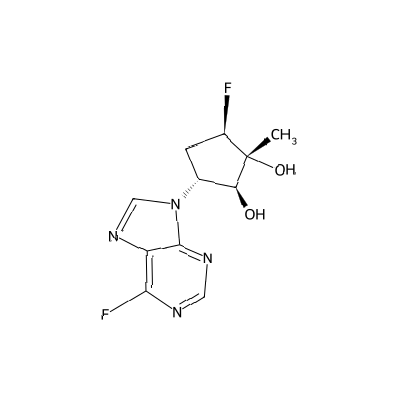 C[C@]1(O)[C@H](F)C[C@@H](n2cnc3c(F)ncnc32)[C@@H]1O